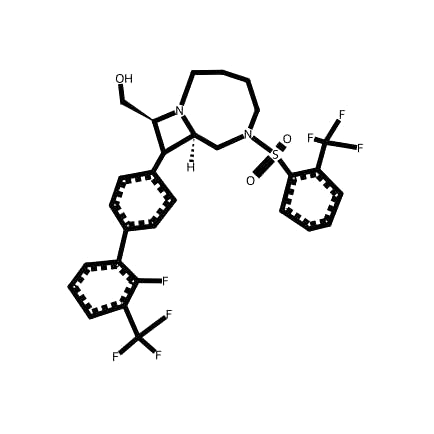 O=S(=O)(c1ccccc1C(F)(F)F)N1CCCCN2[C@H](CO)C(c3ccc(-c4cccc(C(F)(F)F)c4F)cc3)[C@@H]2C1